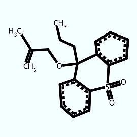 C=C(C)COC1(CCC)c2ccccc2S(=O)(=O)c2ccccc21